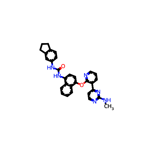 CNc1nccc(-c2cccnc2Oc2ccc(NC(=O)Nc3ccc4c(c3)CCC4)c3ccccc23)n1